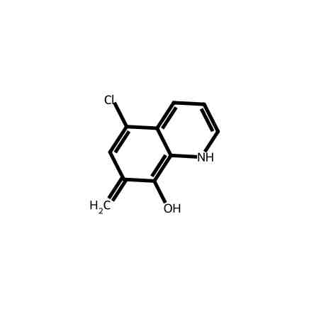 C=c1cc(Cl)c2c(c1O)NC=CC=2